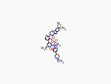 CC(=O)OCc1c(C2=CN(C)C(O)C(Nc3ccc(C4CCN(C)CC4)cn3)=C2)ccnc1N1CCn2c(cc3c2CC(C)(C)C3)C1=O